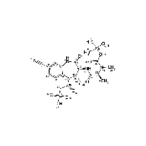 C[C@@H](C(=O)N[C@@H]1C(=O)Nc2cc(C#N)ccc2N(C(=O)CS(C)(=O)=O)[C@H]1C)N(C)C(=O)OC(C)(C)C